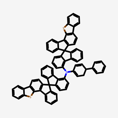 C1=CC(c2ccccc2)CC=C1N(c1cccc2c1-c1ccccc1C21c2ccccc2-c2c1ccc1c2sc2ccccc21)c1cccc2c1-c1ccccc1C21c2ccccc2-c2c1ccc1c2sc2ccccc21